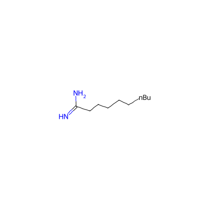 CCCCCCCCCC(=N)N